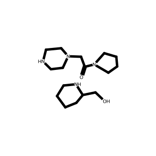 O=C(CN1CCNCC1)N1CCCC1.OCC1CCCCN1